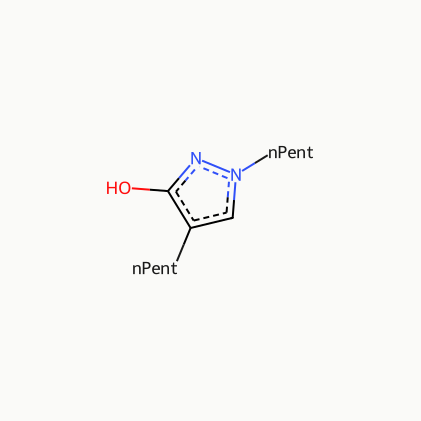 CCCCCc1cn(CCCCC)nc1O